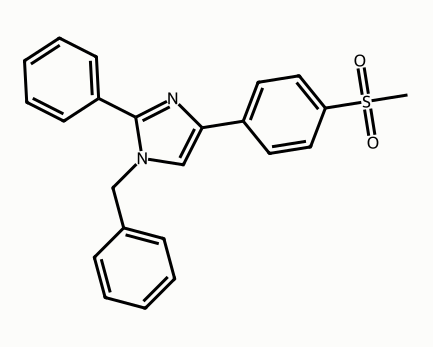 CS(=O)(=O)c1ccc(-c2cn(Cc3ccccc3)c(-c3ccccc3)n2)cc1